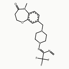 C=N/C(=N\N1CCN(Cc2ccc3c(c2)OCCC(=O)N3C)CC1)C(F)(F)F